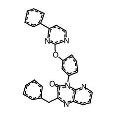 O=c1c(Cc2ccccc2)nc2cccnc2n1-c1cccc(Oc2nccc(-c3ccccc3)n2)c1